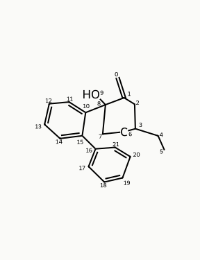 C=C1CC(CC)CCC1(O)c1ccccc1-c1ccccc1